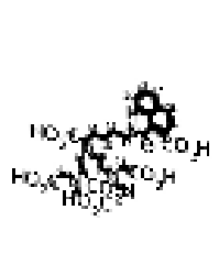 O=C(O)CN(CCN(CCN(CC(=O)O)CC(=O)O)[C@@H](CCCCNC(=O)c1c(C(=O)O)ccc2ccccc12)C(=O)O)CC(=O)O